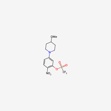 COC1CCN(c2ccc([N+](=O)[O-])c(OS(=O)(=O)C(F)(F)F)c2)CC1